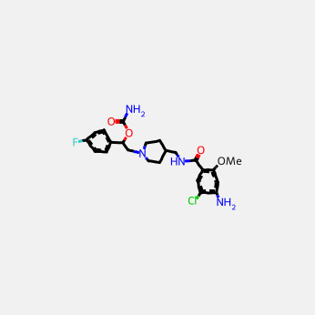 COc1cc(N)c(Cl)cc1C(=O)NCC1CCN(CC(OC(N)=O)c2ccc(F)cc2)CC1